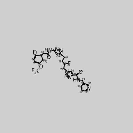 CC1C(OC(F)(F)F)=CC=C(F)C1CC(=O)Nc1nnc(CCC(F)Cn2cc(C(=O)NCc3cccnc3)nn2)s1